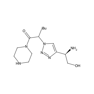 CCC(C)C(C(=O)N1CCNCC1)n1cc([C@@H](N)CO)nn1